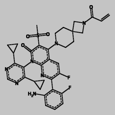 C=CC(=O)N1CC2(CCN(c3c(S(C)(=O)=O)c(=O)n(-c4c(C5CC5)ncnc4C4CC4)c4nc(-c5c(N)cccc5F)c(F)cc34)CC2)C1